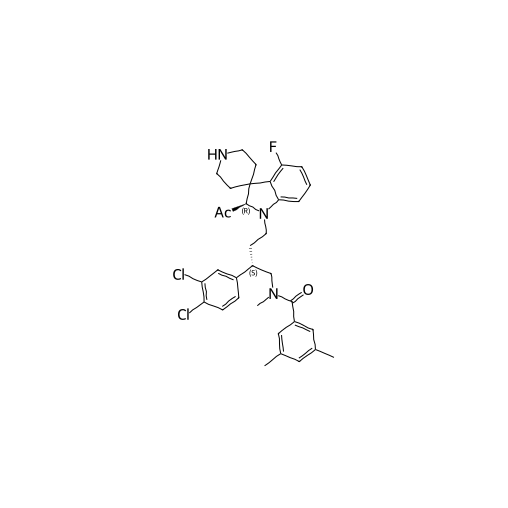 CC(=O)[C@@H]1N(CC[C@H](CN(C)C(=O)c2cc(C)cc(C)c2)c2ccc(Cl)c(Cl)c2)c2cccc(F)c2C12CCNCC2